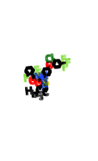 CCN(CC)SN(C(=O)NC(=O)c1c(F)cccc1F)c1ccc(Oc2ccc(C(F)(F)F)cc2Cl)cc1F